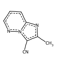 Cc1nc2cccnn2c1C#N